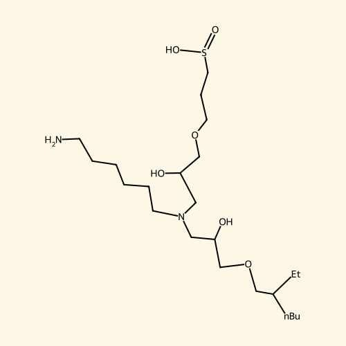 CCCCC(CC)COCC(O)CN(CCCCCCN)CC(O)COCCCS(=O)O